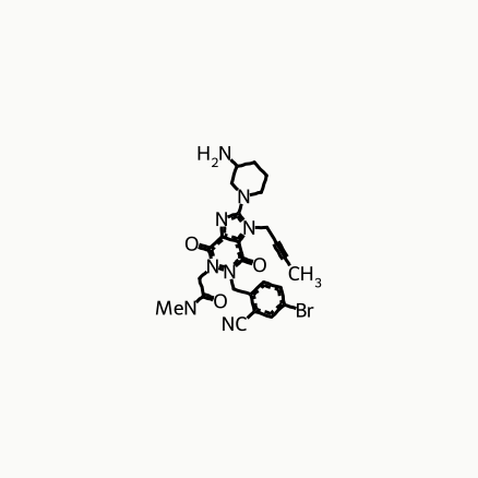 CC#CCn1c(N2CCCC(N)C2)nc2c(=O)n(CC(=O)NC)n(Cc3ccc(Br)cc3C#N)c(=O)c21